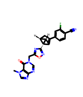 Cn1cnc2ncn(Cc3nc([C@]45C6=C(c7ccc(C#N)c(F)c7)C[C@@H]4[C@H]65)no3)c(=O)c21